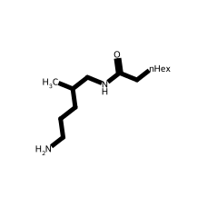 CCCCCCCC(=O)NCC(C)CCCN